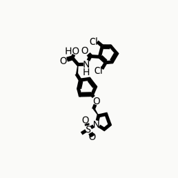 CS(=O)(=O)N1CCC[C@@H]1COc1ccc(C[C@H](NC(=O)c2c(Cl)cccc2Cl)C(=O)O)cc1